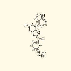 O=C([C@@H]1Cc2cc(Cl)cc(-c3ccnc4[nH]ccc34)c2O1)N1CCCC(C2CNC2)C1